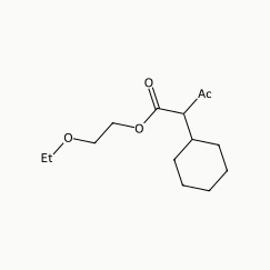 CCOCCOC(=O)C(C(C)=O)C1CCCCC1